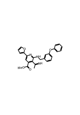 COC(=O)c1cc(-c2ccco2)nc(NCc2cccc(Oc3ccccc3)c2)c1C(C)=N